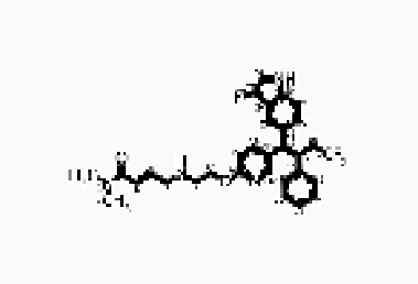 CN(C)C(=O)C=CCNCCOc1ccc(/C(=C(/CC(F)(F)F)c2ccccc2)c2ccc3[nH]cc(F)c3c2)cn1